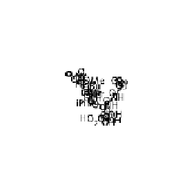 CCC(C)C(C(CC(=O)N1CCCC1C(OC)C(C)C(=O)NC(C)C(O)c1ccccc1)OC)N(C)C(=O)C(NC(=O)C(C(C)C)N(C)C(=O)OCc1ccc(O[C@H]2O[C@H](C(=O)O)[C@@H](O)[C@H](O)[C@H]2O)c(NC(=O)CCNC(=O)CCCC(=O)ON2C(=O)CCC2=O)c1)C(C)C